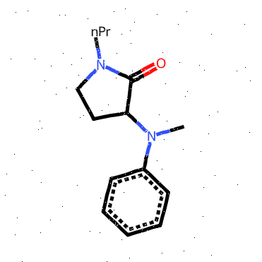 CCCN1CCC(N(C)c2ccccc2)C1=O